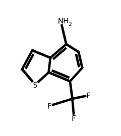 Nc1ccc(C(F)(F)F)c2sccc12